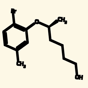 Cc1ccc(Br)c(O[C@@H](C)CCCCO)c1